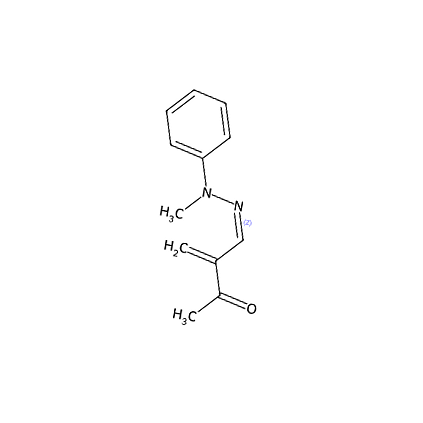 C=C(/C=N\N(C)c1ccccc1)C(C)=O